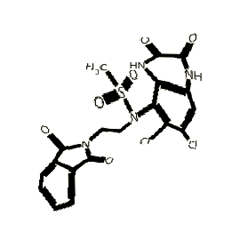 CS(=O)(=O)N(CCN1C(=O)c2ccccc2C1=O)c1c(Cl)c(Cl)cc2[nH]c(=O)c(=O)[nH]c12